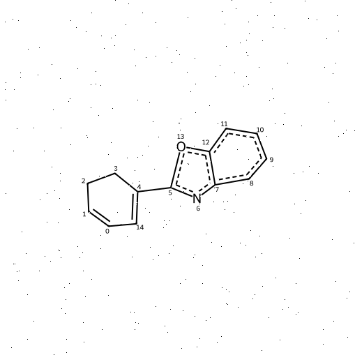 C1=CCCC(c2nc3ccccc3o2)=C1